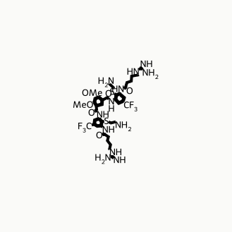 COc1cc(OC)c(C(=O)Nc2cc(C(F)(F)F)cc(NC(=O)CCCCNC(=N)N)c2SCCN)cc1C(=O)Nc1cc(C(F)(F)F)cc(NC(=O)CCCCNC(=N)N)c1SCCN